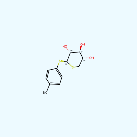 N#Cc1ccc(S[C@@H]2SC[C@@H](O)[C@H](O)[C@H]2O)cc1